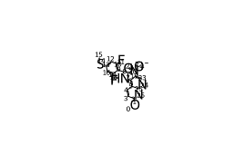 COc1ccc2c(NCc3c(F)cc(SC)cc3F)c([N+](=O)[O-])cnc2n1